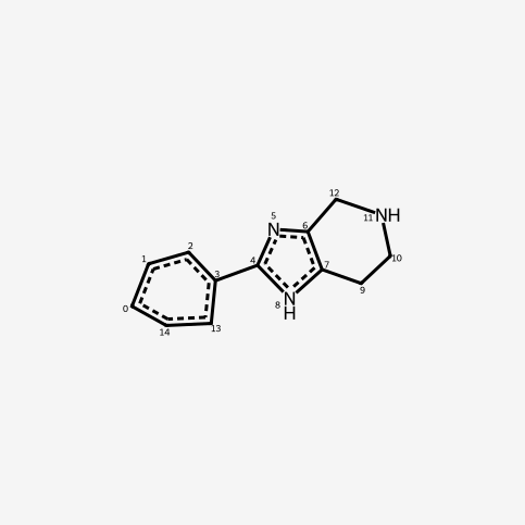 c1ccc(-c2nc3c([nH]2)CCNC3)cc1